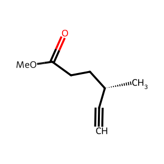 C#C[C@@H](C)CCC(=O)OC